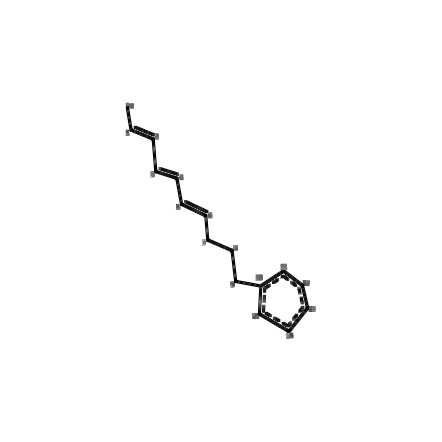 [CH2]C=CC=CC=CCCCc1ccccc1